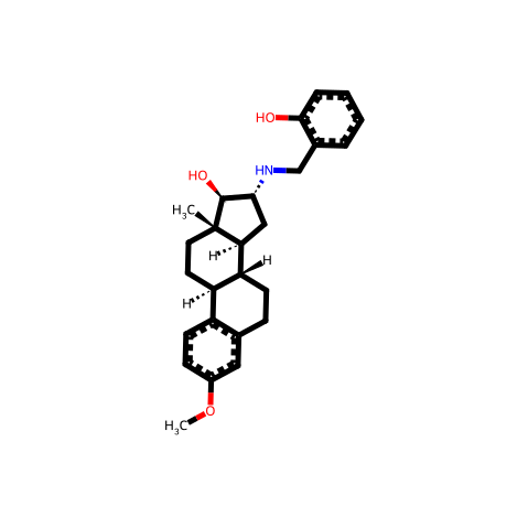 COc1ccc2c(c1)CC[C@@H]1[C@@H]2CC[C@]2(C)[C@@H](O)[C@H](NCc3ccccc3O)C[C@@H]12